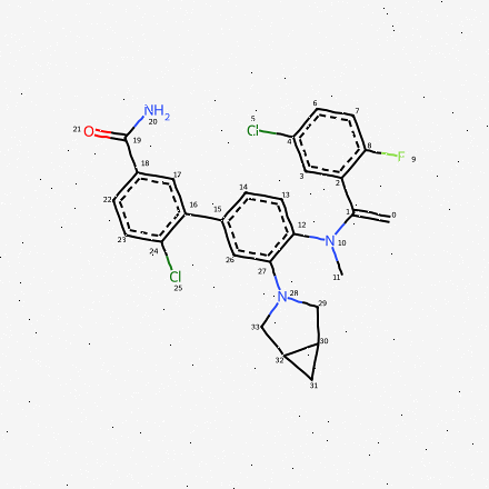 C=C(c1cc(Cl)ccc1F)N(C)c1ccc(-c2cc(C(N)=O)ccc2Cl)cc1N1CC2CC2C1